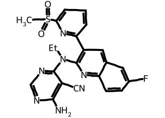 CCN(c1nc2ccc(F)cc2cc1-c1cccc(S(C)(=O)=O)n1)c1ncnc(N)c1C#N